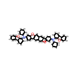 c1ccc(N(c2ccc3c(c2)oc2cc4cc5c(cc4cc23)oc2cc(N(c3ccccc3)c3cccc4c3oc3ccccc34)ccc25)c2cccc3c2oc2ccccc23)cc1